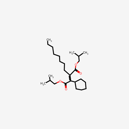 CCCCCCCCC(C(=O)OCC(C)C)=C(C(=O)OCC(C)C)C1CCCCC1